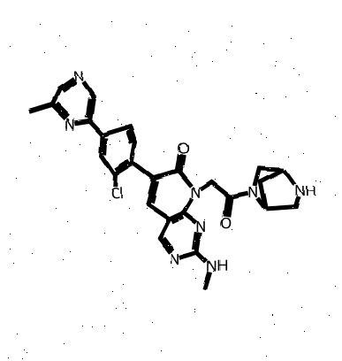 CNc1ncc2cc(-c3ccc(-c4cncc(C)n4)cc3Cl)c(=O)n(CC(=O)N3CC4CC3CN4)c2n1